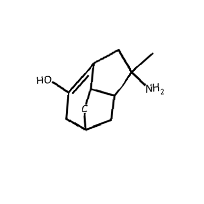 CC1(N)CC2=C(O)CC3CC2C1C3